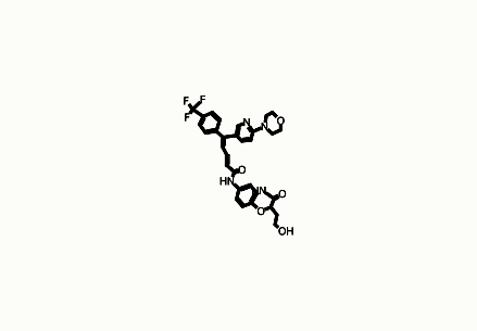 O=C(/C=C/C=C(/c1ccc(C(F)(F)F)cc1)c1ccc(N2CCOCC2)nc1)Nc1ccc2c(c1)NC(=O)C(CCO)O2